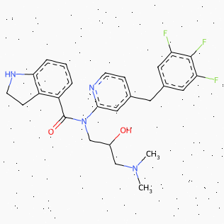 CN(C)CC(O)CN(C(=O)c1cccc2c1CCN2)c1cc(Cc2cc(F)c(F)c(F)c2)ccn1